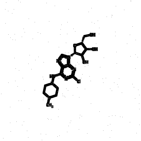 CN1CCN(Nc2nc(Cl)nc3c2ncn3[C@@H]2O[C@H](CO)C(O)C2O)CC1